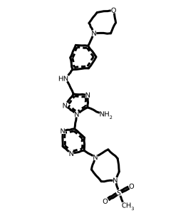 CS(=O)(=O)N1CCCN(c2cc(-n3nc(Nc4ccc(N5CCOCC5)cc4)nc3N)ncn2)CC1